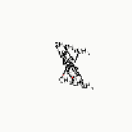 CCCCCCCCC(CCCCCC)CN1C(=O)C2=C(C3CC=C(C4=CC(CCCCCC)C(Br)S4)O3)N(CC(CCCCCC)CCCCCCCC)C(=O)C2=C1c1ccc(-c2cc(CCCCCC)c(Br)s2)o1